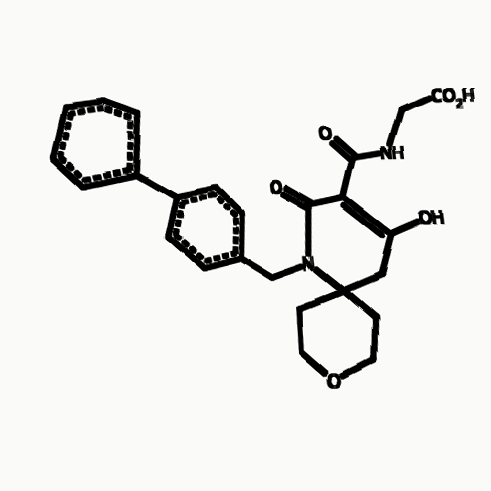 O=C(O)CNC(=O)C1=C(O)CC2(CCOCC2)N(Cc2ccc(-c3ccccc3)cc2)C1=O